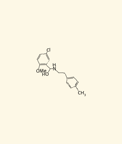 COc1ccc(Cl)cc1C(O)NCCc1ccc(C)cc1